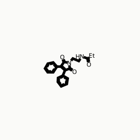 CCC(=O)NCCN1C(=O)C(c2ccccc2)=C(c2ccccc2)C1=O